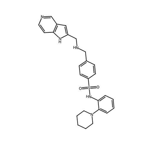 O=S(=O)(Nc1ccccc1N1CCCCC1)c1ccc(CNCc2cc3cnccc3[nH]2)cc1